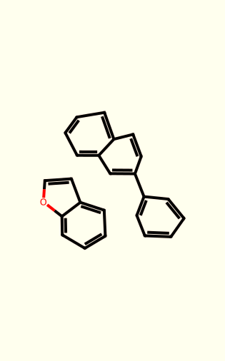 c1ccc(-c2ccc3ccccc3c2)cc1.c1ccc2occc2c1